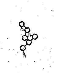 N#CC1=CC=CC(c2ccc(C3C=CCCC3N3c4ccc5c(oc6ccccc65)c4C4C=CC=CC43)cc2)C1